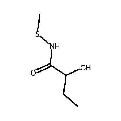 CCC(O)C(=O)NSC